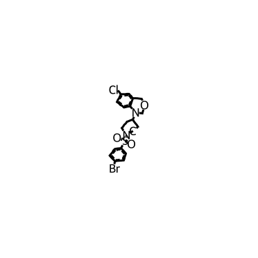 O=S(=O)(c1ccc(Br)cc1)N1CCC(N2COCc3cc(Cl)ccc32)CC1